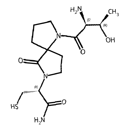 C[C@@H](O)[C@H](N)C(=O)N1CCCC12CCN([C@@H](CS)C(N)=O)C2=O